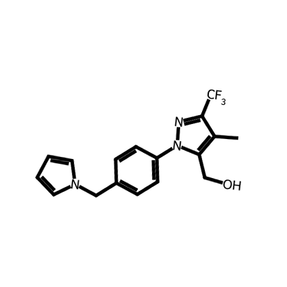 Cc1c(C(F)(F)F)nn(-c2ccc(Cn3cccc3)cc2)c1CO